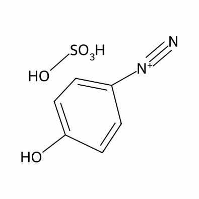 N#[N+]c1ccc(O)cc1.O=S(=O)(O)O